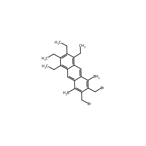 Bc1c(CBr)c(CBr)c(B)c2cc3c(CC)c(CC)c(CC)c(CC)c3cc12